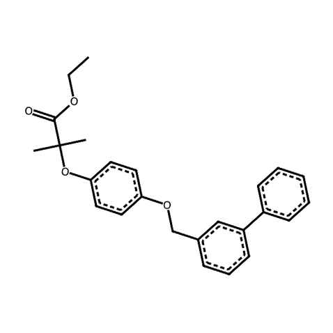 CCOC(=O)C(C)(C)Oc1ccc(OCc2cccc(-c3ccccc3)c2)cc1